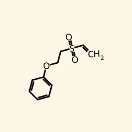 C=CS(=O)(=O)CCOc1ccccc1